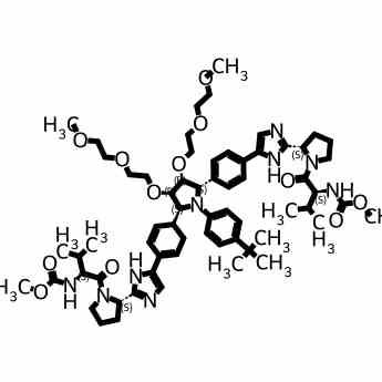 COCCOCCO[C@H]1[C@H](OCCOCCOC)[C@H](C2C=CC(c3cnc([C@@H]4CCCN4C(=O)[C@@H](NC(=O)OC)C(C)C)[nH]3)=CC2)N(c2ccc(C(C)(C)C)cc2)[C@H]1c1ccc(-c2cnc([C@@H]3CCCN3C(=O)[C@@H](NC(=O)OC)C(C)C)[nH]2)cc1